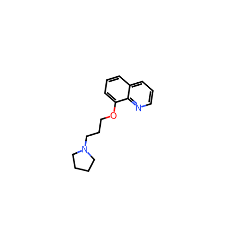 c1cnc2c(OCCCN3CCCC3)cccc2c1